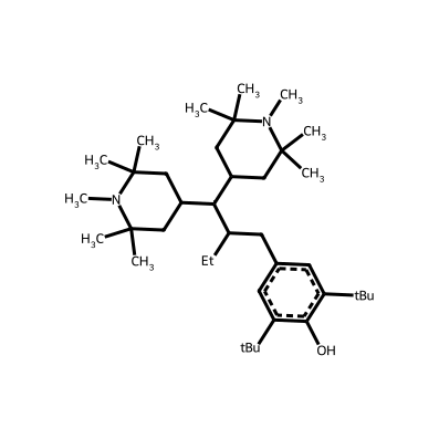 CCC(Cc1cc(C(C)(C)C)c(O)c(C(C)(C)C)c1)[C](C1CC(C)(C)N(C)C(C)(C)C1)C1CC(C)(C)N(C)C(C)(C)C1